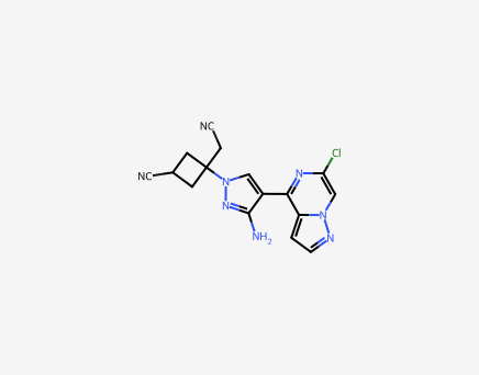 N#CCC1(n2cc(-c3nc(Cl)cn4nccc34)c(N)n2)CC(C#N)C1